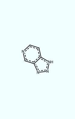 [c]1nccc2[nH]nnc12